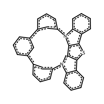 c1cc2cc(c1)c1cccc(c1)n1c3ccccc3c3sc4c5ccccc5n(c5cccc2c5)c4c31